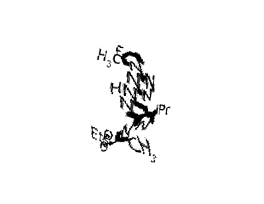 CCS(=O)(=O)C[C@H]1CN(c2ncc(C(C)C)c3cc(Nc4ncnc(N5CCC[C@@](C)(F)C5)n4)ncc23)[C@@H]1C